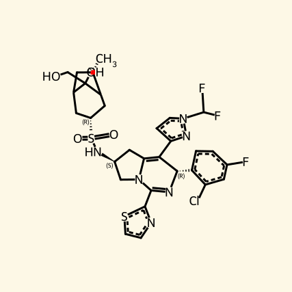 C[C@H]1CC2C[C@@H](S(=O)(=O)N[C@H]3CC4=C(c5ccn(C(F)F)n5)[C@H](c5ccc(F)cc5Cl)N=C(c5nccs5)N4C3)CC1C2(O)CO